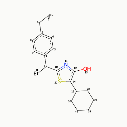 CCC(c1ccc(CC(C)C)cc1)c1nc(O)c(C2CCCCC2)s1